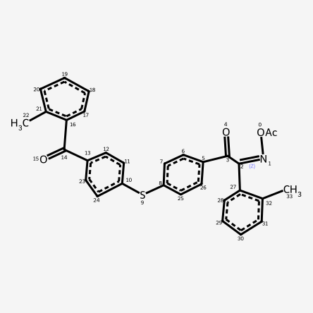 CC(=O)O/N=C(\C(=O)c1ccc(Sc2ccc(C(=O)c3ccccc3C)cc2)cc1)c1ccccc1C